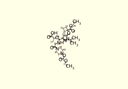 CCOC(=O)ON1CCN(C(=O)[C@H](CCC(=O)O)NC(=O)c2cc(OC3(C(=O)OCC)CCC3)n(C(C)C)n2)CC1